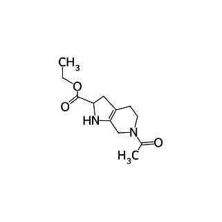 CCOC(=O)C1CC2=C(CN(C(C)=O)CC2)N1